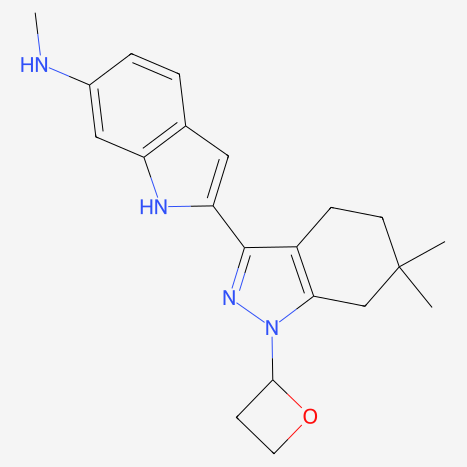 CNc1ccc2cc(-c3nn(C4CCO4)c4c3CCC(C)(C)C4)[nH]c2c1